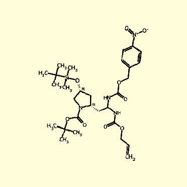 C=CCOC(=O)NC(C[C@H]1C[C@@H](O[Si](C)(C)C(C)(C)C)CN1C(=O)OC(C)(C)C)NC(=O)OCc1ccc([N+](=O)[O-])cc1